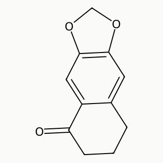 O=C1CCCc2cc3c(cc21)OCO3